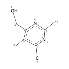 Cc1nc(Cl)c(C)c(CO)n1